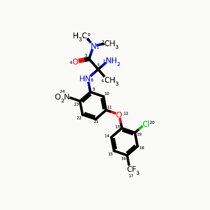 CN(C)C(=O)C(C)(N)Nc1cc(Oc2ccc(C(F)(F)F)cc2Cl)ccc1[N+](=O)[O-]